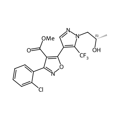 COC(=O)c1c(-c2ccccc2Cl)noc1-c1cnn(C[C@H](C)O)c1C(F)(F)F